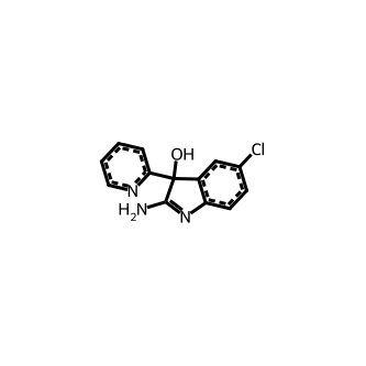 NC1=Nc2ccc(Cl)cc2C1(O)c1ccccn1